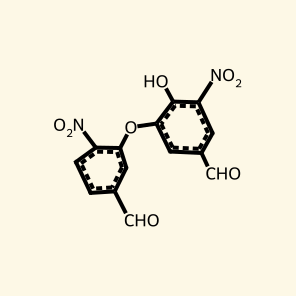 O=Cc1ccc([N+](=O)[O-])c(Oc2cc(C=O)cc([N+](=O)[O-])c2O)c1